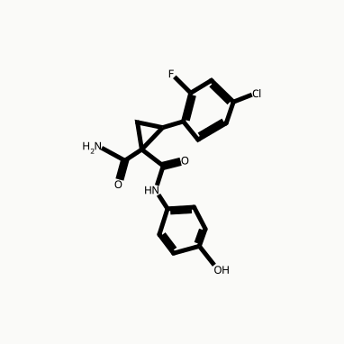 NC(=O)C1(C(=O)Nc2ccc(O)cc2)CC1c1ccc(Cl)cc1F